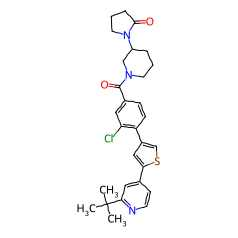 CC(C)(C)c1cc(-c2cc(-c3ccc(C(=O)N4CCCC(N5CCCC5=O)C4)cc3Cl)cs2)ccn1